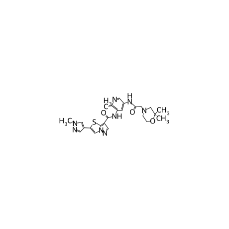 Cc1ncc(NC(=O)CN2CCOC(C)(C)C2)cc1NC(=O)c1cnn2cc(-c3cnn(C)c3)sc12